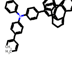 C/C=C\C(=C/C)c1ccc(N(c2ccccc2)c2ccc(-c3ccc4c(c3)C3=C5CCC=C3C3=C(c6ccccc65)C4CC=C3)cc2)cc1